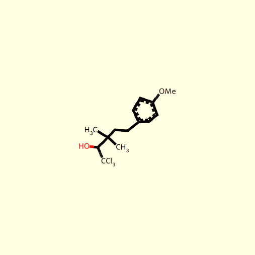 COc1ccc(CCC(C)(C)C(O)C(Cl)(Cl)Cl)cc1